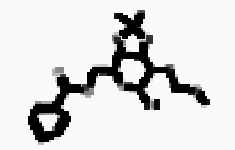 COCOC1C(O)SC(COC(=O)c2ccccc2)C2OC(C)(C)OC12